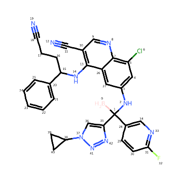 BC(Nc1cc(Cl)c2ncc(C#N)c(NC(CCC#N)c3ccccc3)c2c1)(c1ccc(F)nc1)c1cn(C2CC2)nn1